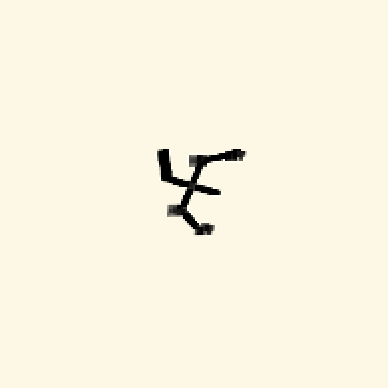 C=C[Si](C)(NCCC)NCCC